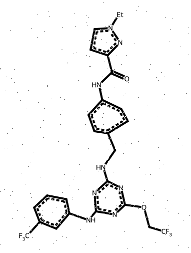 CCn1ccc(C(=O)Nc2ccc(CNc3nc(Nc4cccc(C(F)(F)F)c4)nc(OCC(F)(F)F)n3)cc2)n1